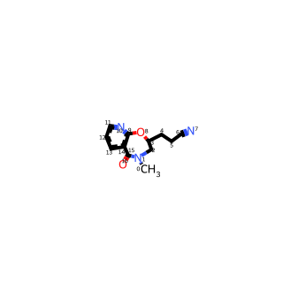 CN1CC(CCC#N)Oc2ncccc2C1=O